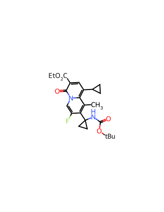 CCOC(=O)c1cc(C2CC2)c2c(C)c(C3(NC(=O)OC(C)(C)C)CC3)c(F)cn2c1=O